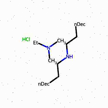 CCCCCCCCCCCCNCCCCCCCCCCCC.CCN(C)C.Cl